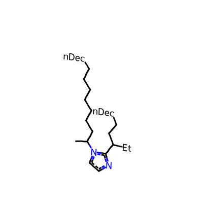 CCCCCCCCCCCCCCCCCC(C)n1ccnc1C(CC)CCCCCCCCCCCC